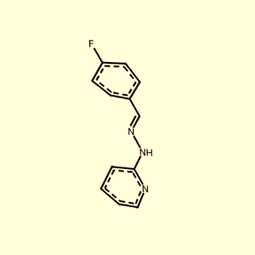 Fc1ccc(C=NNc2ccccn2)cc1